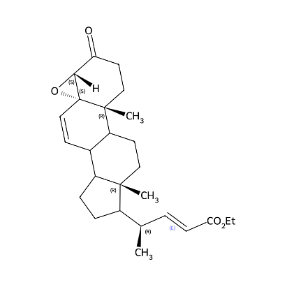 CCOC(=O)/C=C/[C@@H](C)C1CCC2C3C=C[C@@]45O[C@@H]4C(=O)CC[C@]5(C)C3CC[C@@]21C